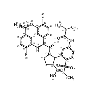 CCS(=O)(=O)c1ccc(NC(=O)N(C)C)cc1C1C(C(=O)O)CCN1C(=O)[C@@H](Nc1cc(C(N)=O)ccc1F)c1ccc(F)c(OC)c1